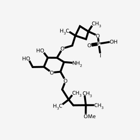 COC(C)(C)CC(C)(C)COC1OC(CO)C(O)C(OCC2(C)CC(C)(OP(=O)(O)I)C2)C1N